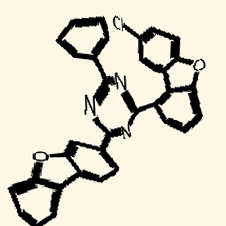 Clc1ccc2oc3cccc(-c4nc(-c5ccccc5)nc(-c5ccc6c(c5)oc5ccccc56)n4)c3c2c1